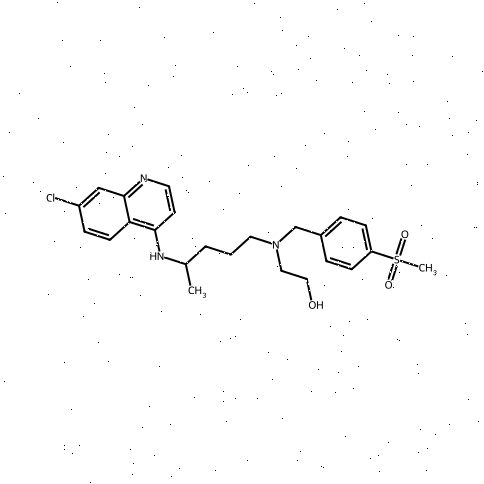 CC(CCCN(CCO)Cc1ccc(S(C)(=O)=O)cc1)Nc1ccnc2cc(Cl)ccc12